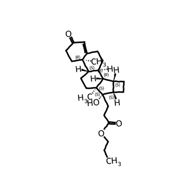 CCCOC(=O)CC[C@]1(O)[C@H]2CC[C@H]2[C@H]2[C@@H]3CCC4=CC(=O)CC[C@]4(C)[C@H]3CC[C@@]21C